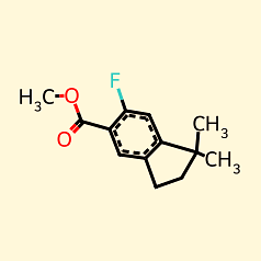 COC(=O)c1cc2c(cc1F)C(C)(C)CC2